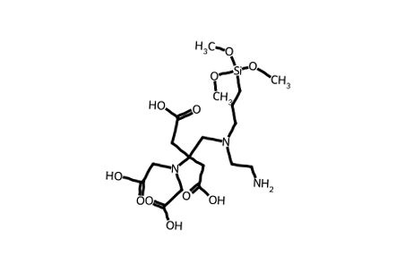 CO[Si](CCCN(CCN)CC(CC(=O)O)(CC(=O)O)N(CC(=O)O)CC(=O)O)(OC)OC